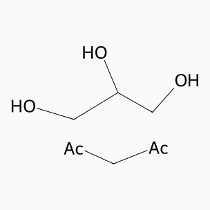 CC(=O)CC(C)=O.OCC(O)CO